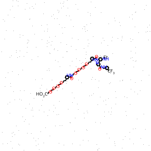 CCNc1ccc(NC(=O)c2cccc(CCCOCCOCCOCCOCCNC(=O)c3cccc(CCCOCCOCCOCCOCCC(=O)O)c3)c2)c(-c2cc(C(=O)NCc3cccc(C(F)(F)F)c3)ccn2)c1